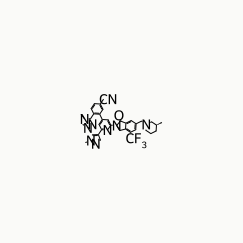 C[C@H]1CCCN(Cc2cc3c(c(C(F)(F)F)c2)CN(c2cc(-c4cc(C#N)ccc4-c4nncn4C)cc(-c4cnn(C)c4)n2)C3=O)C1